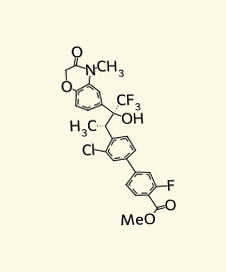 COC(=O)c1ccc(-c2ccc([C@H](C)[C@](O)(c3ccc4c(c3)N(C)C(=O)CO4)C(F)(F)F)c(Cl)c2)cc1F